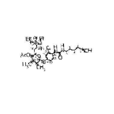 C#CCCCCNC(=O)Nc1ccc(O[C@H]2O[C@H](CCP(=O)(OCC)OCC)[C@@H](OC(C)=O)[C@H](C)[C@@H]2C)cc1C